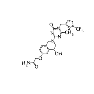 Cc1nc(N2Cc3ccc(OCC(N)=O)cc3C(O)C2)nc(=O)n1Cc1ccc(C(F)(F)F)s1